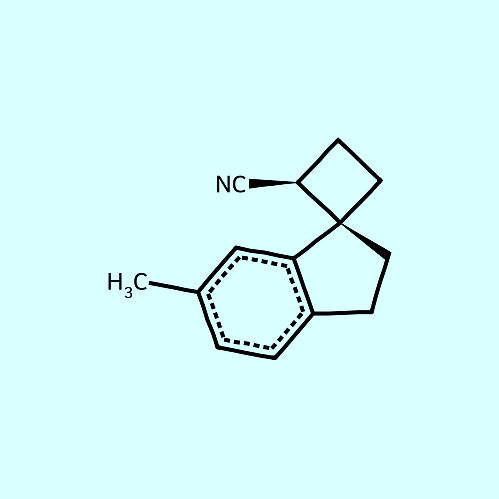 Cc1ccc2c(c1)[C@@]1(CC2)CC[C@@H]1C#N